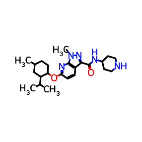 CC1CCC(Oc2ccc3c(C(=O)NC4CCNCC4)nn(C)c3n2)C(C(C)C)C1